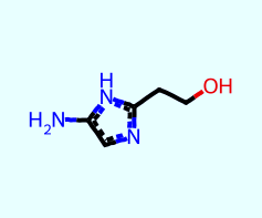 Nc1cnc(CCO)[nH]1